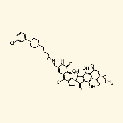 COC1=CC(=O)c2c(O)c3c(c(O)c2C1=O)C(=O)[C@]1(CCc2c1c(O)c1c(=O)[nH]c(C=NOCCCN4CCN(c5cccc(Cl)c5)CC4)cc1c2Cl)C3=O